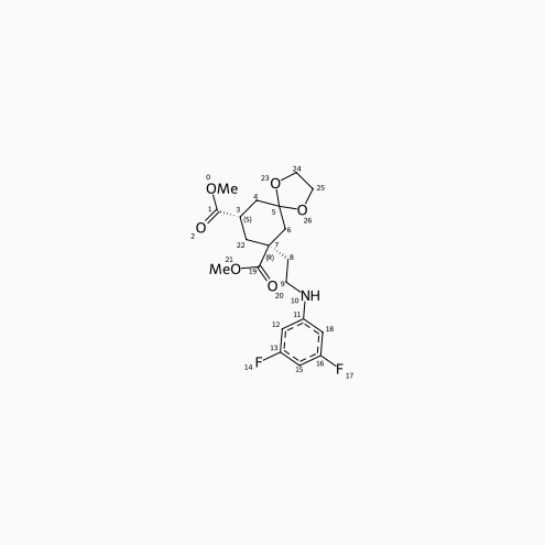 COC(=O)[C@@H]1CC2(C[C@@](CCNc3cc(F)cc(F)c3)(C(=O)OC)C1)OCCO2